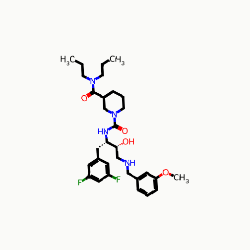 CCCN(CCC)C(=O)C1CCCN(C(=O)N[C@@H](Cc2cc(F)cc(F)c2)[C@H](O)CNCc2cccc(OC)c2)C1